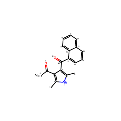 COC(=O)c1c(C)[nH]c(C)c1C(=O)c1cccc2ccccc12